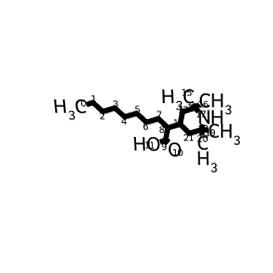 CCCCCCCCC(C(=O)O)C1CC(C)(C)NC(C)(C)C1